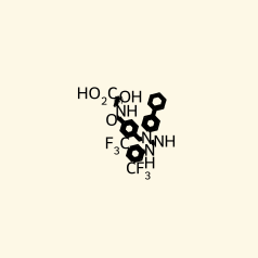 N=C(Nc1cc(C(F)(F)F)cc(C(F)(F)F)c1)N(Cc1ccc(C(=O)NC[C@@H](O)C(=O)O)cc1)c1ccc(C2=CCCCC2)cc1